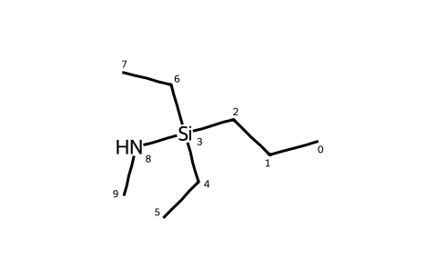 CCC[Si](CC)(CC)NC